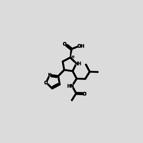 CC(=O)NC(CC(C)C)C1N[C@H](C(=O)O)CC1c1ccon1